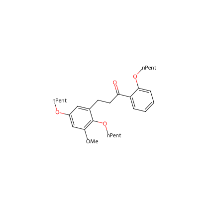 CCCCCOc1cc(CCC(=O)c2ccccc2OCCCCC)c(OCCCCC)c(OC)c1